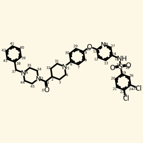 O=C(C1CCN(c2ccc(Oc3ccc(NS(=O)(=O)c4ccc(Cl)c(Cl)c4)cn3)cc2)CC1)N1CCN(Cc2ccccc2)CC1